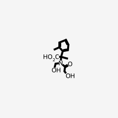 Cc1ccccc1C(C)(C(=O)O)N(CO)C(=O)CO